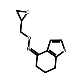 c1cc2c(s1)CCC/C2=N/OCC1CO1